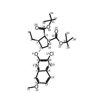 CC[C@@H]1[C@@H](Oc2nc3cc(OC)ccc3nc2Cl)CN(C(=O)OC(C)(C)C)[C@@H]1C(=O)OC(C)(C)C